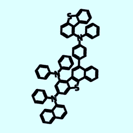 c1ccc(N(c2cc(N(c3ccccc3)c3ccccc3)c3c(c2)sc2c4ccccc4c(-c4ccc(N(c5ccccc5)c5cccc6sc7ccccc7c56)cc4)cc23)c2cccc3ccccc23)cc1